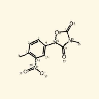 Cc1ccc(-n2oc(=O)n(C)c2=O)cc1[N+](=O)[O-]